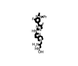 Cc1nc2c(F)cc(-c3nc(Nc4ccc5c(n4)CCN(CC(N)CNO)C5)ncc3F)cc2n1C(C)C